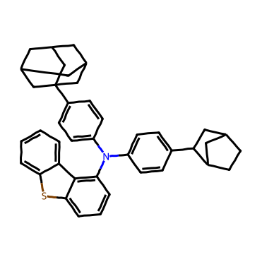 c1ccc2c(c1)sc1cccc(N(c3ccc(C4CC5CCC4C5)cc3)c3ccc(C45CC6CC(CC(C6)C4)C5)cc3)c12